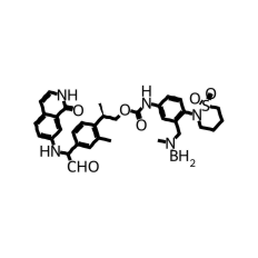 BN(C)Cc1cc(NC(=O)OC[C@H](C)c2ccc(C(C=O)Nc3ccc4cc[nH]c(=O)c4c3)cc2C)ccc1N1CCCCS1(=O)=O